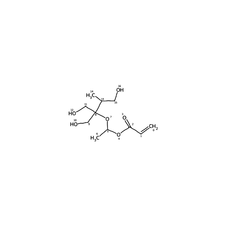 C=CC(=O)OC(C)OC(CO)(CO)C(C)CO